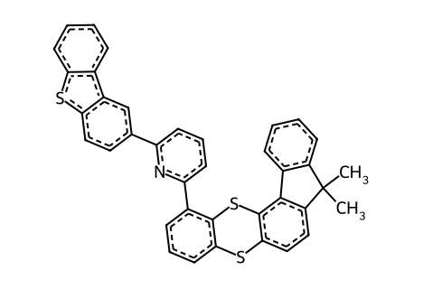 CC1(C)c2ccccc2-c2c1ccc1c2Sc2c(cccc2-c2cccc(-c3ccc4sc5ccccc5c4c3)n2)S1